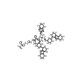 C=C(C)C(=O)OCCOCCNC(=O)OCC(CSc1cccc(-c2cccc3c2sc2ccccc23)c1)(CSc1cccc(-c2cccc3c2sc2ccccc23)c1)CSc1nc2ccccc2s1